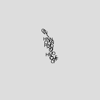 CC(NC(=O)c1ncnc(NCCCN2CCOCC2)c1Cl)c1ncc(C(=O)Nc2ccc(Cl)c(C(F)(F)F)c2)s1